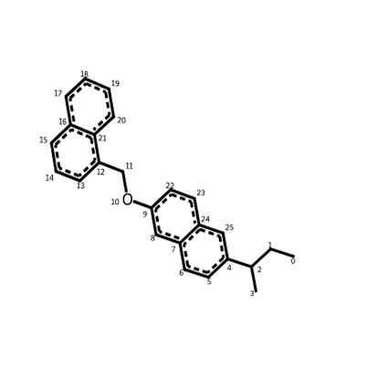 CCC(C)c1ccc2cc(OCc3cccc4ccccc34)ccc2c1